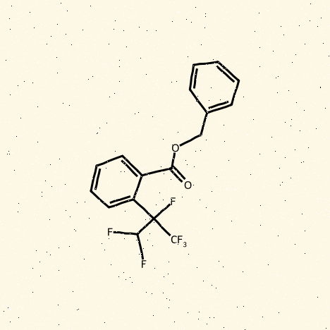 O=C(OCc1ccccc1)c1ccccc1C(F)(C(F)F)C(F)(F)F